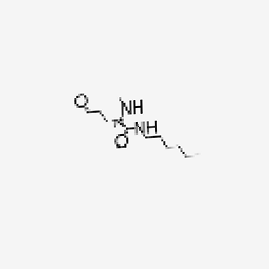 CCCCCCNC(=O)[C@H](CCC=O)NC